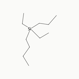 CCCC[Si](CC)(CC)CCC